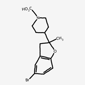 CC1(C2CCN(C(=O)O)CC2)Cc2cc(Br)ccc2O1